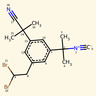 [C-]#[N+]C(C)(C)c1cc(CC(Br)Br)cc(C(C)(C)C#N)c1